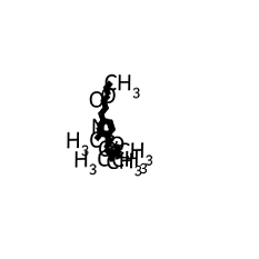 CCOC(=O)CCc1ccc(B2OC(C)(C)C(C)(C)O2)c(C)n1